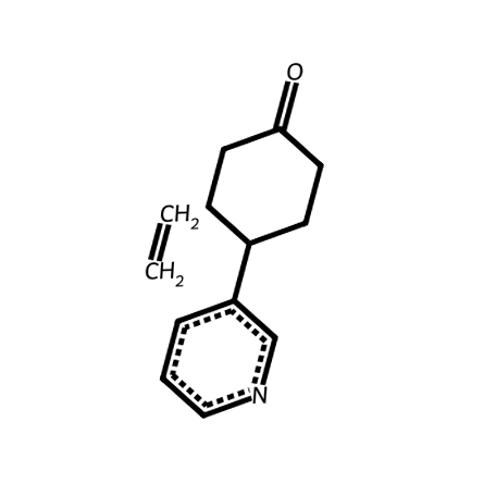 C=C.O=C1CCC(c2cccnc2)CC1